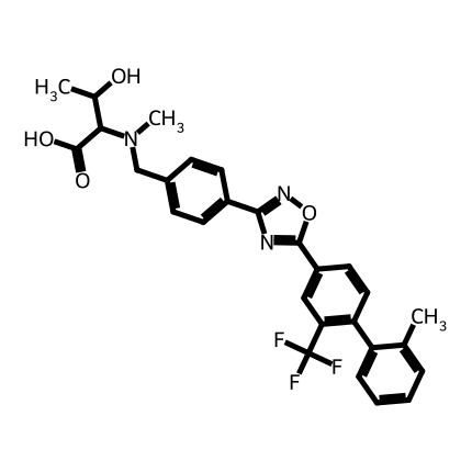 Cc1ccccc1-c1ccc(-c2nc(-c3ccc(CN(C)C(C(=O)O)C(C)O)cc3)no2)cc1C(F)(F)F